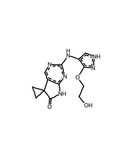 O=C1Nc2nc(Nc3c[nH]nc3OCCO)ncc2C12CC2